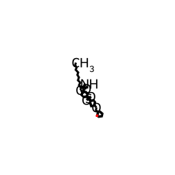 CCCCCCCCCCC(Oc1ccc(S(=O)(=O)c2ccc(OCc3ccccc3)cc2)cc1)C([NH])=O